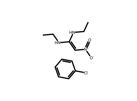 CCNC(=C[N+](=O)[O-])NCC.Clc1ccccc1